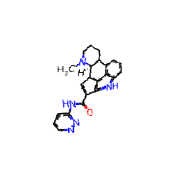 CN1CCCC2c3cccc4[nH]c5c(c34)C(C=C5C(=O)Nc3cccnn3)[C@H]21